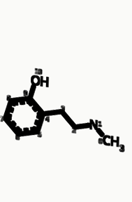 C[N]CCc1ccccc1O